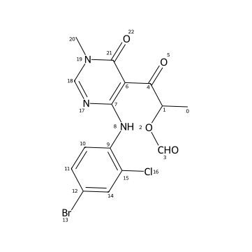 CC(OC=O)C(=O)c1c(Nc2ccc(Br)cc2Cl)ncn(C)c1=O